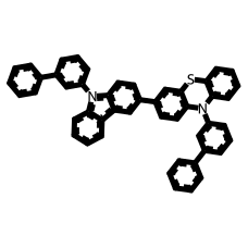 c1ccc(-c2cccc(N3c4ccccc4Sc4cc(-c5ccc6c(c5)c5ccccc5n6-c5cccc(-c6ccccc6)c5)ccc43)c2)cc1